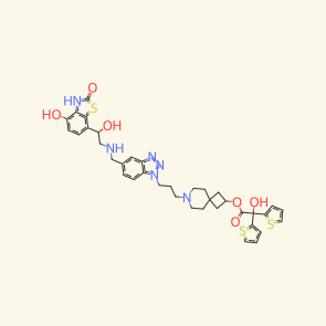 O=C(OC1CC2(CCN(CCCn3nnc4cc(CNC[C@H](O)c5ccc(O)c6[nH]c(=O)sc56)ccc43)CC2)C1)C(O)(c1cccs1)c1cccs1